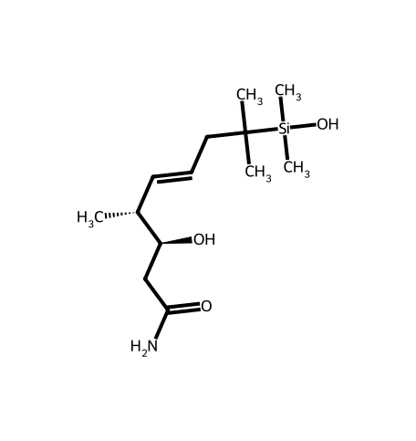 C[C@H](/C=C/CC(C)(C)[Si](C)(C)O)[C@@H](O)CC(N)=O